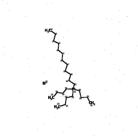 CCCCCCCCCCCC[P+](CCCC)(CCCC)CCCC.[Br-]